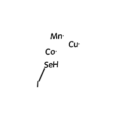 [Co].[Cu].[Mn].[SeH]I